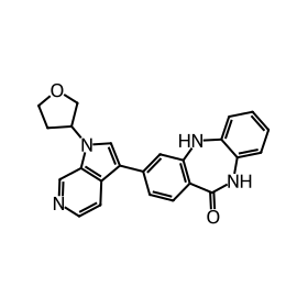 O=C1Nc2ccccc2Nc2cc(-c3cn(C4CCOC4)c4cnccc34)ccc21